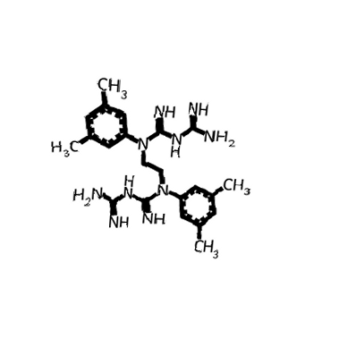 Cc1cc(C)cc(N(CCN(C(=N)NC(=N)N)c2cc(C)cc(C)c2)C(=N)NC(=N)N)c1